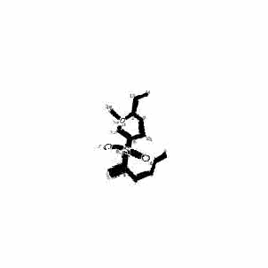 C=C/C=C\C(=C)S(=O)(=O)C(/C=C\C(=C/C)OC)=C/C